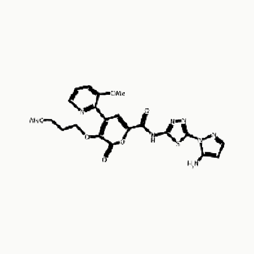 COCCCOc1c(-c2ncccc2OC)cc(C(=O)Nc2nnc(-n3nccc3N)s2)oc1=O